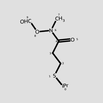 CC(C)SCCC(=O)N(C)OC=O